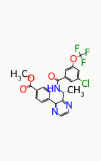 COC(=O)c1ccc(-c2nccnc2[C@@H](C)NC(=O)c2cc(Cl)cc(OC(F)(F)F)c2)cc1